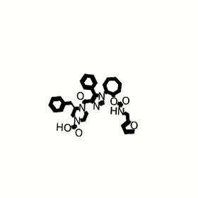 O=C(NCc1ccco1)OC1CCCCCC1n1cnc(C(=O)N2CCN(C(=O)O)C[C@H]2Cc2ccccc2)c1-c1ccccc1